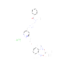 CCN1C(=O)C(C)(C)C(=O)N(C)c2cc(OCCCc3cc(CNCCN(C)C(=O)c4ccccc4)ccn3)ccc21.Cl.Cl